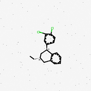 CC[C@H]1Cc2ccccc2[C@H](c2ccc(Cl)c(Cl)c2)C1